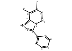 Cc1cnn2c(-c3ccccc3)nnc2c1C